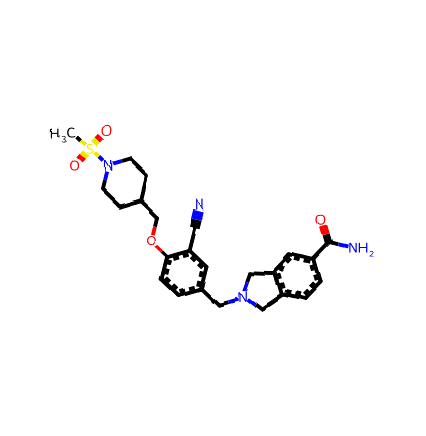 CS(=O)(=O)N1CCC(COc2ccc(CN3Cc4ccc(C(N)=O)cc4C3)cc2C#N)CC1